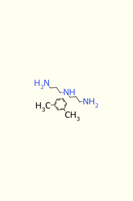 Cc1cccc(C)c1.NCCCNCCCN